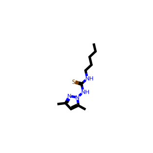 CCCCCNC(=S)Nn1nc(C)cc1C